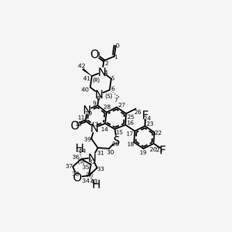 C=CC(=O)N1C[C@H](C)N(c2nc(=O)n3c4c(c(-c5ccc(F)cc5F)c(C)cc24)SCC(N2C[C@@H]4C[C@H]2CO4)C3)C[C@H]1C